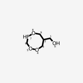 OCC1COOCPOC1